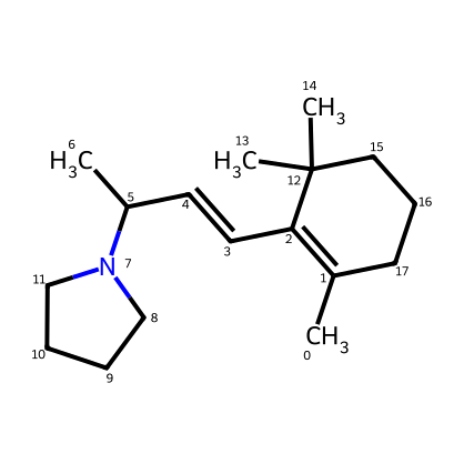 CC1=C(C=CC(C)N2CCCC2)C(C)(C)CCC1